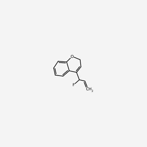 C=CC(F)C1=CCOc2ccccc21